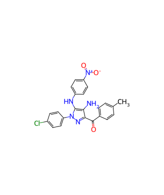 Cc1ccc(C(=O)c2nn(-c3ccc(Cl)cc3)c(Nc3ccc([N+](=O)[O-])cc3)c2N)cc1